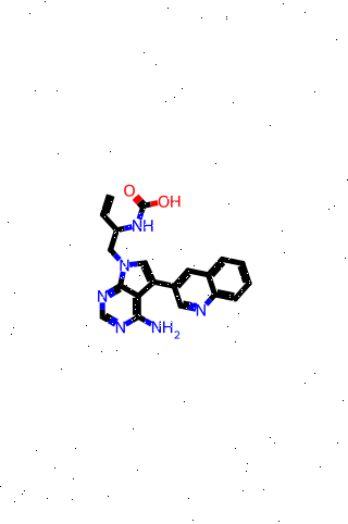 C=CC(Cn1cc(-c2cnc3ccccc3c2)c2c(N)ncnc21)NC(=O)O